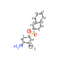 Nc1ccc(S(=O)(=O)c2ccc3ccccc3c2)cc1C(F)(F)F